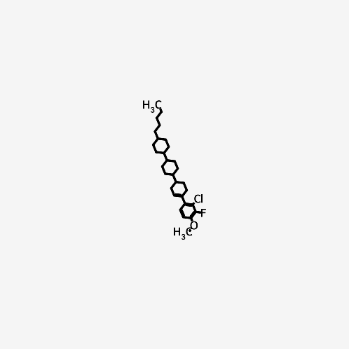 CCCCCC1CCC(C2CCC(C3CC=C(c4ccc(OC)c(F)c4Cl)CC3)CC2)CC1